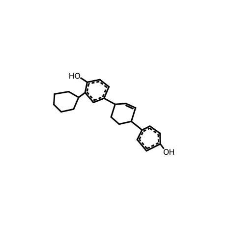 Oc1ccc(C2C=CC(c3ccc(O)c(C4CCCCC4)c3)CC2)cc1